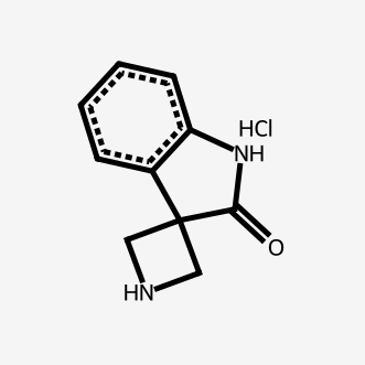 Cl.O=C1Nc2ccccc2C12CNC2